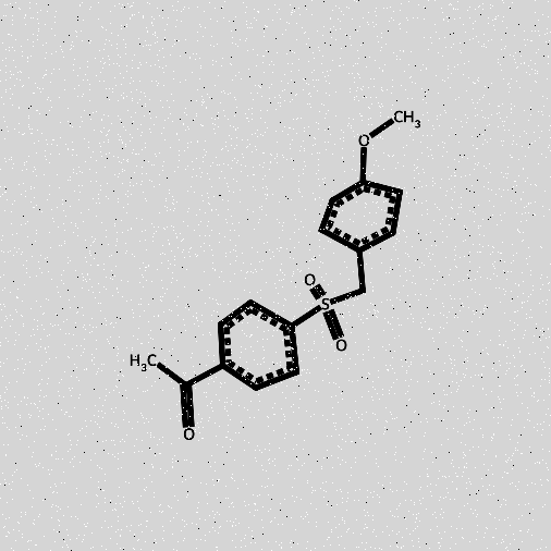 COc1ccc(CS(=O)(=O)c2ccc(C(C)=O)cc2)cc1